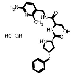 Cc1nc(N)ccc1CNC(=O)C(CO)NC(=O)[C@H]1C[C@H](Cc2ccccc2)CN1.Cl.Cl